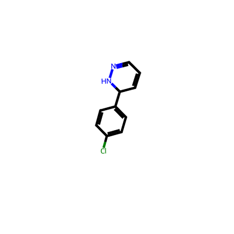 Clc1ccc(C2C=CC=NN2)cc1